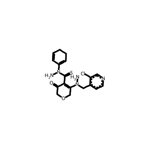 NN(Cc1ccncc1Cl)C1=C(C(=S)N(N)C2=CCCC=C2)C(=O)COC1